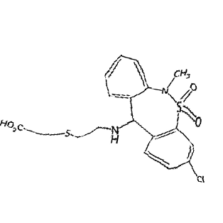 CN1c2ccccc2C(NCCSCC(=O)O)c2ccc(Cl)cc2S1(=O)=O